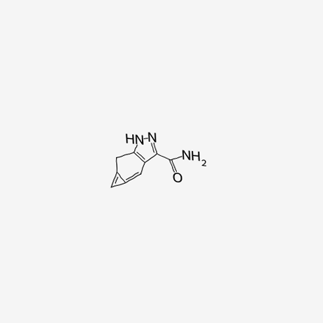 NC(=O)c1n[nH]c2c1C=C1C=C1C2